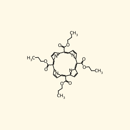 CCCOC(=O)C1=C2C=CC(=N2)C(C(=O)OCCC)=C2C=CC(=N2)C(C(=O)OCCC)=C2C=CC(=N2)C(C(=O)OCCC)=C2C=CC1=N2